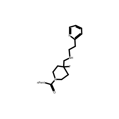 CCCCCC(=O)N1CCC(F)(CNCCc2ccccn2)CC1